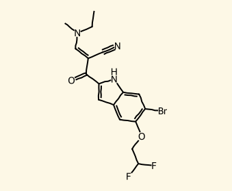 CCN(C)/C=C(\C#N)C(=O)c1cc2cc(OCC(F)F)c(Br)cc2[nH]1